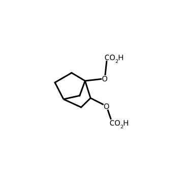 O=C(O)OC1CC2CCC1(OC(=O)O)C2